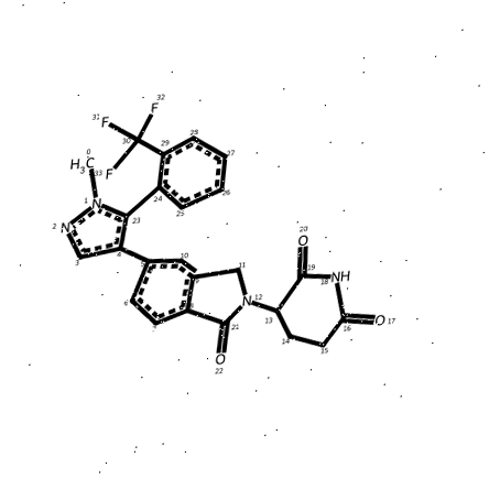 Cn1ncc(-c2ccc3c(c2)CN(C2CCC(=O)NC2=O)C3=O)c1-c1ccccc1C(F)(F)F